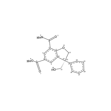 CNC(=O)c1cc(C(=O)OC)cc2c1OC[C@@]2(CO)c1ccccc1